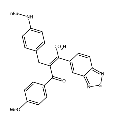 CCCCNc1ccc(CC(C(=O)c2ccc(OC)cc2)=C(C(=O)O)c2ccc3nsnc3c2)cc1